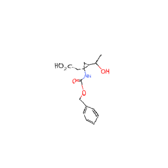 CC(O)C1CC1(CC(=O)O)NC(=O)OCc1ccccc1